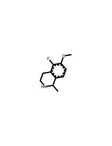 COc1ccc2c(c1F)CCNC2C